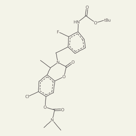 CC1c2cc(Cl)c(OC(=O)N(C)C)cc2OC(=O)N1Cc1cccc(NC(=O)OC(C)(C)C)c1F